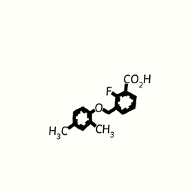 Cc1ccc(OCc2cccc(C(=O)O)c2F)c(C)c1